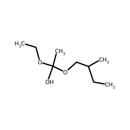 CCOC(C)(O)OCC(C)CC